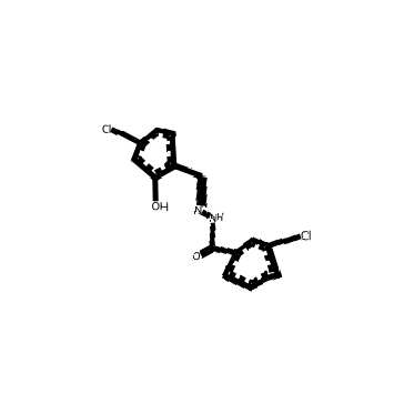 O=C(N/N=C/c1ccc(Cl)cc1O)c1cccc(Cl)c1